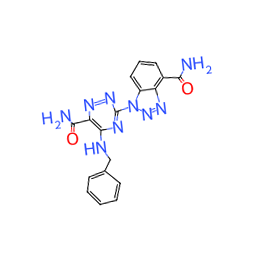 NC(=O)c1nnc(-n2nnc3c(C(N)=O)cccc32)nc1NCc1ccccc1